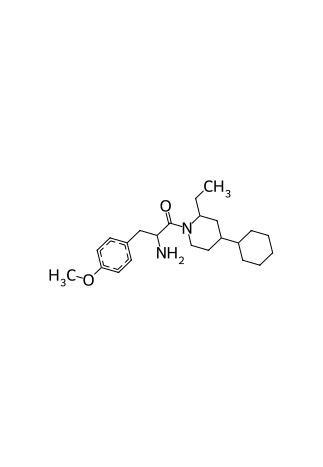 CCC1CC(C2CCCCC2)CCN1C(=O)C(N)Cc1ccc(OC)cc1